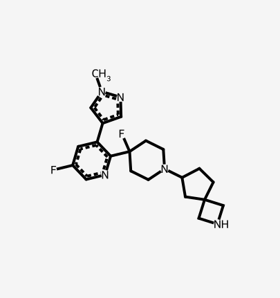 Cn1cc(-c2cc(F)cnc2C2(F)CCN(C3CCC4(CNC4)C3)CC2)cn1